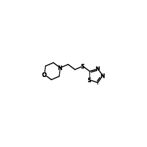 [c]1nnc(SCCN2CCOCC2)s1